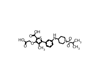 Cc1c(-c2cccc(NC3CCN(S(=O)(=O)C(C)C)CC3)c2)sc(C(=O)O)c1OCC(=O)O